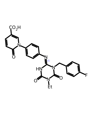 CCn1c(=O)[nH]/c(=N\c2ccc(-n3cc(C(=O)O)ccc3=O)cc2)n(Cc2ccc(F)cc2)c1=O